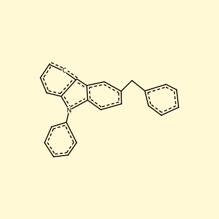 c1ccc(Cc2ccc3c(c2)c2ccccc2n3-c2ccccc2)cc1